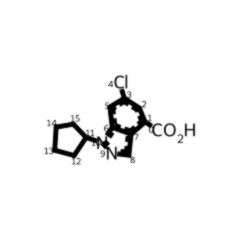 O=C(O)c1cc(Cl)cc2c1cnn2C1CCCC1